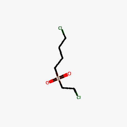 O=S(=O)(CCCl)CCCCCl